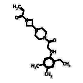 C=CC(=O)N1CC(N2CCN(C(=O)CNc3cc(C)c(C)cc3CC)CC2)C1